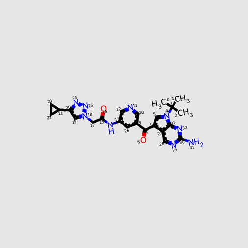 CC(C)(C)n1cc(C(=O)c2cncc(NC(=O)Cn3cc(C4CC4)nn3)c2)c2cnc(N)nc21